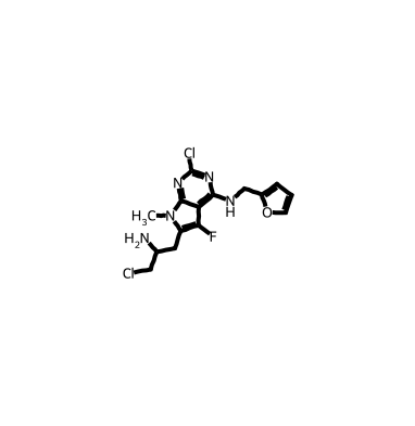 Cn1c(CC(N)CCl)c(F)c2c(NCc3ccco3)nc(Cl)nc21